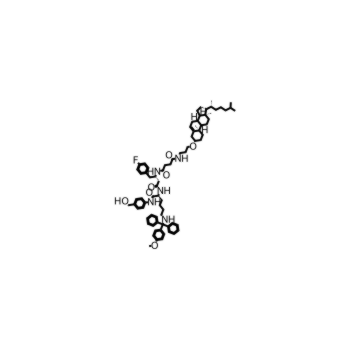 COc1ccc(C(NCCCC[C@H](NC(=O)C[C@H](Cc2ccc(F)cc2)NC(=O)CCC(=O)NCCCO[C@H]2CC[C@@]3(C)C(=CC[C@H]4[C@@H]5CC[C@H]([C@H](C)CCCC(C)C)[C@@]5(C)CC[C@@H]43)C2)C(=O)Nc2ccc(CO)cc2)(c2ccccc2)c2ccccc2)cc1